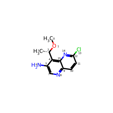 CO[C@@H](C)c1c(N)cnc2ccc(Cl)nc12